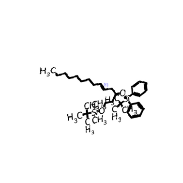 CCCCCCCC/C=C/CC(CCO[Si](C)(C)C(C)(C)C)O[Si](c1ccccc1)(c1ccccc1)C(C)(C)C